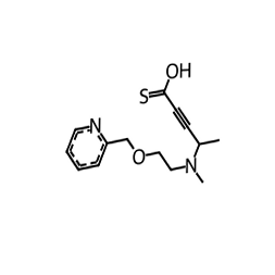 CC(C#CC(O)=S)N(C)CCOCc1ccccn1